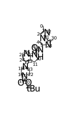 Cc1cn2cc(NC(=O)N3CCc4c(N5CCN(C(=O)OC(C)(C)C)CC5)ccnc43)nc(C)c2n1